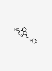 O=C(O)c1cccc2c1C(=O)N(CCCN1CCOCC1)C2